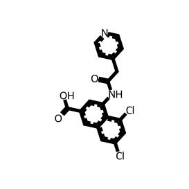 O=C(Cc1ccncc1)Nc1cc(C(=O)O)cc2cc(Cl)cc(Cl)c12